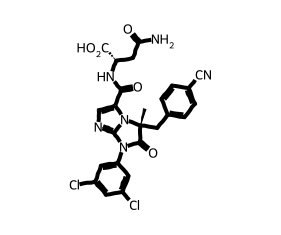 C[C@@]1(Cc2ccc(C#N)cc2)C(=O)N(c2cc(Cl)cc(Cl)c2)c2ncc(C(=O)N[C@@H](CC(N)=O)C(=O)O)n21